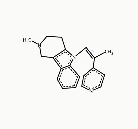 C/C(=C/n1c2c(c3ccccc31)CN(C)CC2)c1ccncc1